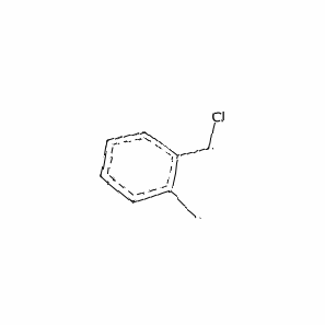 [CH2]c1ccccc1[CH]Cl